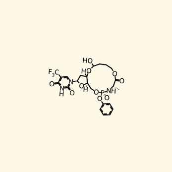 C[C@@H]1N[P@@](=O)(Oc2ccccc2)OC[C@H]2O[C@@H](n3cc(C(F)(F)F)c(=O)[nH]c3=O)C[C@@H]2OC(O)CCCOC1=O